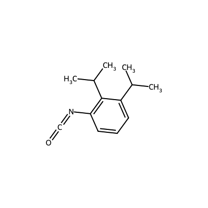 CC(C)c1cccc(N=C=O)c1C(C)C